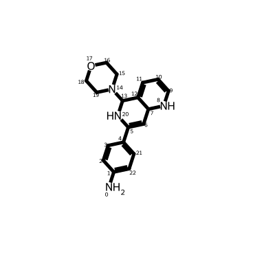 Nc1ccc(C2=CC3NC=CC=C3C(N3CCOCC3)N2)cc1